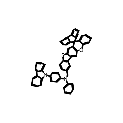 c1ccc(N(Cc2ccc3sc4cc5c(cc4c3c2)Oc2ccccc2C52c3ccccc3-c3ccccc32)c2ccc(-n3c4ccccc4c4ccccc43)cc2)cc1